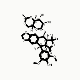 [2H]C1([2H])OC(=O)[C@@]2([2H])[C@H]1[C@H](O[C@@H]1O[C@@H]3CO[C@@H](C)O[C@H]3[C@H](O)[C@H]1O)c1cc3c(cc1[C@@]2([2H])c1cc(OC)c(O)c(OC)c1)OCO3